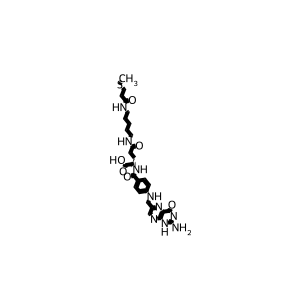 CSCCC(=O)NCCCCCNC(=O)CC[C@H](NC(=O)c1ccc(NCc2cnc3[nH]c(N)nc(=O)c3n2)cc1)C(=O)O